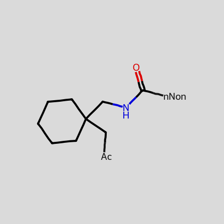 CCCCCCCCCC(=O)NCC1(CC(C)=O)CCCCC1